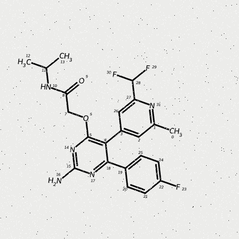 Cc1cc(-c2c(OCC(=O)NC(C)C)nc(N)nc2-c2ccc(F)cc2)cc(C(F)F)n1